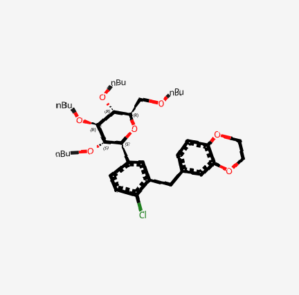 CCCCOC[C@H]1O[C@@H](c2ccc(Cl)c(Cc3ccc4c(c3)OCCO4)c2)[C@H](OCCCC)[C@@H](OCCCC)[C@@H]1OCCCC